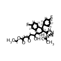 CCOC(=O)CC(=O)CC(O)/C=C/C(=C(c1ccc(F)cc1)c1ccc(F)cc1)c1nnnn1C(C)C